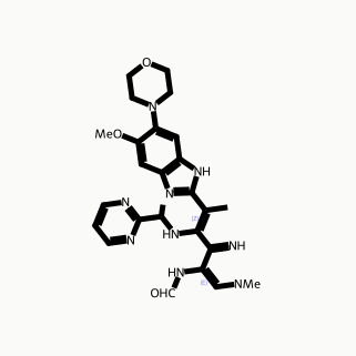 CN/C=C(/NC=O)C(=N)/C(NC(C)c1ncccn1)=C(\C)c1nc2cc(OC)c(N3CCOCC3)cc2[nH]1